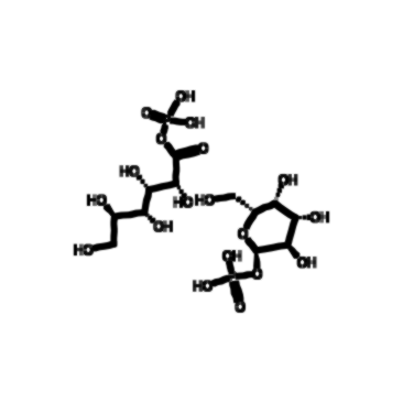 O=C(OP(=O)(O)O)[C@H](O)[C@@H](O)[C@H](O)[C@H](O)CO.O=P(O)(O)O[C@H]1O[C@H](CO)[C@H](O)[C@H](O)[C@H]1O